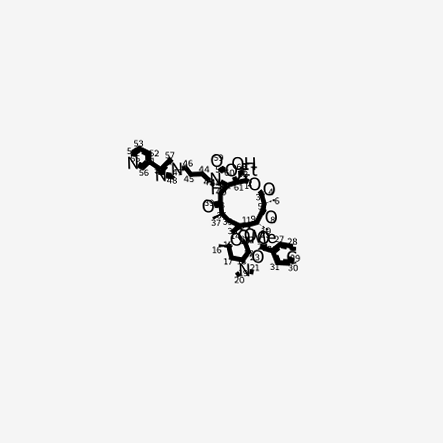 CC[C@H]1OC(=O)[C@H](C)C(=O)[C@H](C)[C@@H](OC2O[C@H](C)C[C@H](N(C)C)[C@H]2OC(=O)c2ccccc2)[C@@](C)(OC)C[C@@H](C)C(=O)C[C@H]2N(CCCCn3cnc(-c4cccnc4)c3)C(=O)O[C@]12CO